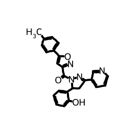 Cc1ccc(-c2cc(C(=O)N3N=C(c4cccnc4)CC3c3ccccc3O)no2)cc1